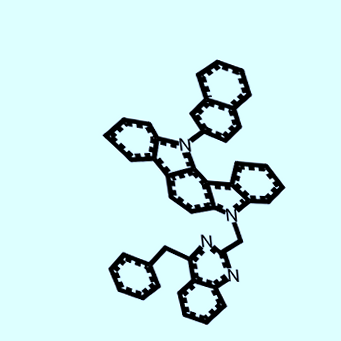 c1ccc(Cc2nc(Cn3c4ccccc4c4c3ccc3c5ccccc5n(-c5ccc6ccccc6c5)c34)nc3ccccc23)cc1